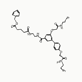 CC(C)CCNC(=O)COc1ccc(-c2cc(OCC(=O)NCCC(C)C)cc(C(=O)NCCNC(=O)CCCC(=O)OCc3ccccc3)c2)cc1